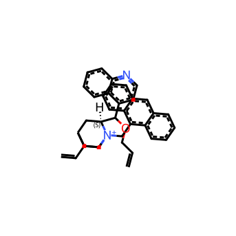 C=CCOC(c1ccnc2ccccc12)[C@@H]1CC2CC[N+]1(Cc1c3ccccc3cc3ccccc13)CC2C=C